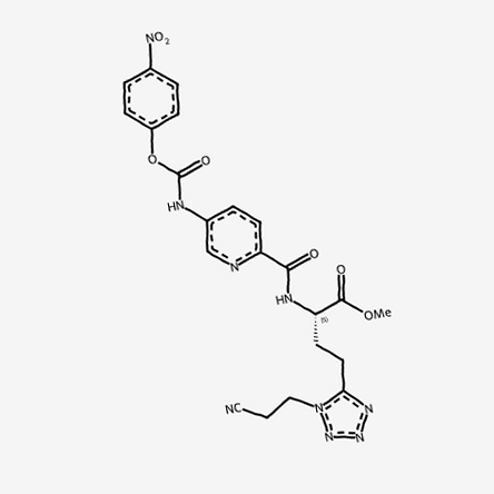 COC(=O)[C@H](CCc1nnnn1CCC#N)NC(=O)c1ccc(NC(=O)Oc2ccc([N+](=O)[O-])cc2)cn1